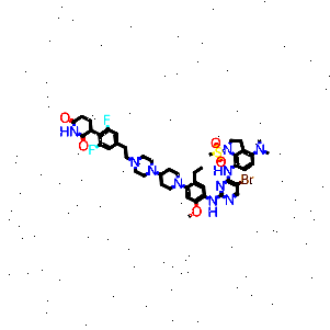 CCc1cc(Nc2ncc(Br)c(Nc3ccc(N(C)C)c4c3N(S(C)(=O)=O)CC4)n2)c(OC)cc1N1CCC(N2CCN(CCc3cc(F)c(C4CCC(=O)NC4=O)c(F)c3)CC2)CC1